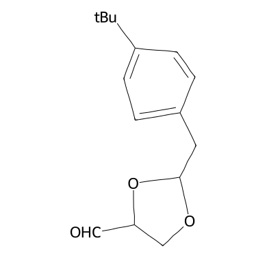 CC(C)(C)c1ccc(CC2OCC(C=O)O2)cc1